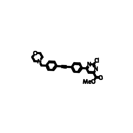 COC(=O)c1cc(-c2ccc(C#Cc3ccc(CN4CCOCC4)cc3)cc2)nc(Cl)n1